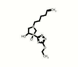 C=CCCCCN1CC(O)[N+]([O-])(c2nnc(OCC)s2)C1